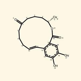 C[C@H]1CCCC(=O)CCC/C=C/c2cc(O)c(O)cc2C(=O)O1